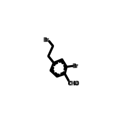 O=Cc1ccc(CCBr)cc1Br